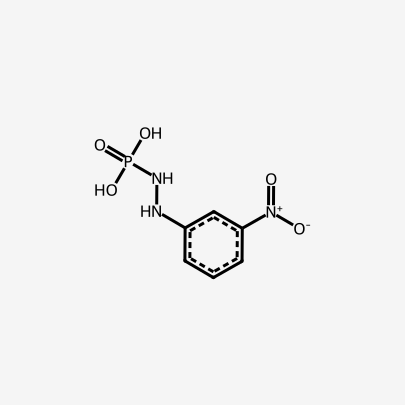 O=[N+]([O-])c1cccc(NNP(=O)(O)O)c1